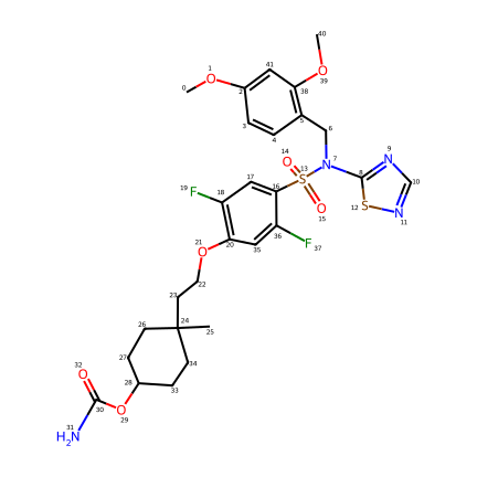 COc1ccc(CN(c2ncns2)S(=O)(=O)c2cc(F)c(OCCC3(C)CCC(OC(N)=O)CC3)cc2F)c(OC)c1